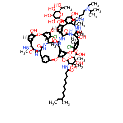 CCC(C)CCCCCCCCC(=O)N[C@H]1[C@H](Oc2c3cc4cc2Oc2ccc(c(C)c2Cl)[C@@](C)(O)[C@]2(C)NC(=O)[C@H](NC(=O)[C@]4(C)NC(=O)[C@H]4NC(=O)[C@@H](Cc5ccc(cc5)O3)NC(=O)[C@H](NC)c3ccc(O)c(c3C)Oc3cc(O)c(Cl)c4c3)c3ccc(O)c(c3C)-c3c(O[C@H]4O[C@H](C(C)O)[C@@H](O)[C@H](O)[C@@H]4O)cc(O)c(C)c3[C@@](C)(C(=O)NCCCN(CC)C(C)C)NC2=O)O[C@H](C(=O)O)[C@@](C)(O)[C@]1(C)O